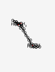 C[C@@H]1CC2C3CCC4=CC(=O)C=C[C@]4(C)[C@@]3(F)[C@@H](O)C[C@]2(C)[C@@]1(O)C(=O)COC(=O)CCC(=O)OCCOCCOCCOCCOC(=O)CCC(=O)OCC(=O)[C@@]1(O)CCC2C3CCC4=CC(=O)C=C[C@]4(C)C3[C@@H](O)C[C@@]21C